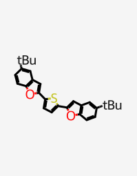 CC(C)(C)c1ccc2oc(-c3ccc(-c4cc5cc(C(C)(C)C)ccc5o4)s3)cc2c1